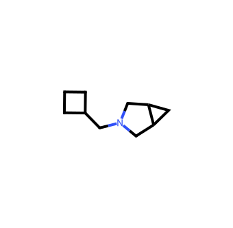 C1CC(CN2CC3CC3C2)C1